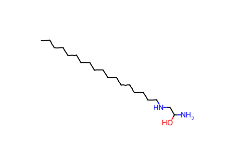 CCCCCCCCCCCCCCCCCCNCC(N)O